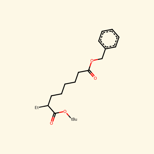 CCC(CCCCCC(=O)OCc1ccccc1)C(=O)OC(C)(C)C